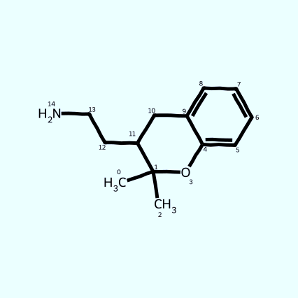 CC1(C)Oc2ccccc2CC1CCN